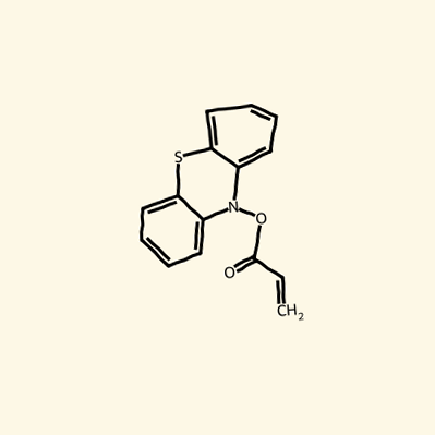 C=CC(=O)ON1c2ccccc2Sc2ccccc21